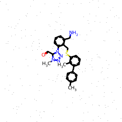 Cc1ccc(-c2cccc(SCc3c(CN)cccc3N3N=NN(C)C3C=O)c2C)cc1